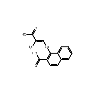 CC(=[CH][Cu][c]1c(C(=O)O)ccc2ccccc12)C(=O)O